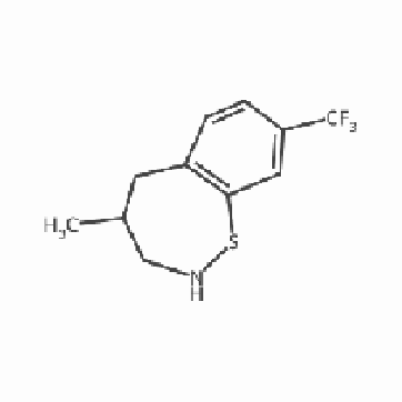 CC1CNSc2cc(C(F)(F)F)ccc2C1